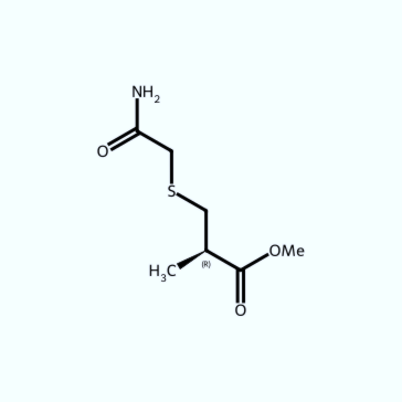 COC(=O)[C@@H](C)CSCC(N)=O